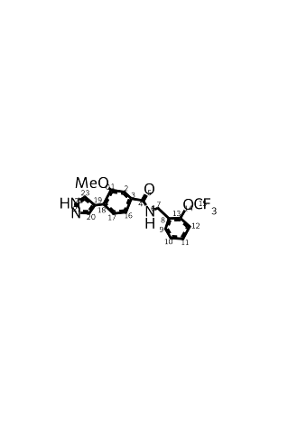 COc1cc(C(=O)NCc2ccccc2OC(F)(F)F)ccc1-c1cn[nH]c1